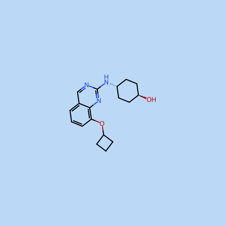 O[C@H]1CC[C@H](Nc2ncc3cccc(OC4CCC4)c3n2)CC1